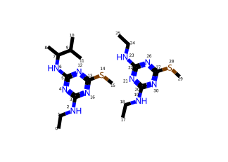 CCNc1nc(NC(C)C(C)C)nc(SC)n1.CCNc1nc(NCC)nc(SC)n1